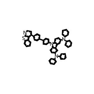 c1ccc(N(c2ccccc2)c2ccc3c(c2)c2cc(N(c4ccccc4)c4ccccc4)ccc2n3-c2ccc(-c3ccc(-c4ccnc5sc6ccccc6c45)cc3)cc2)cc1